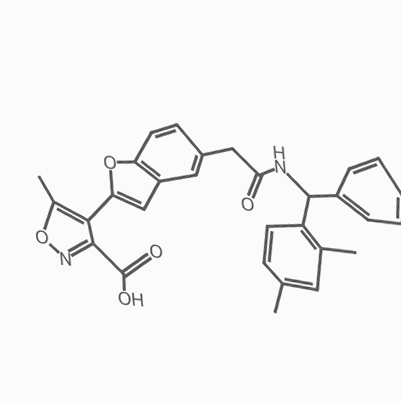 Cc1ccc(C(NC(=O)Cc2ccc3oc(-c4c(C(=O)O)noc4C)cc3c2)c2ccccc2)c(C)c1